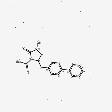 CC(C)(C)C(=O)N1C(=O)[C@H](O)CC1Cc1ccc(-c2ccccc2)cc1